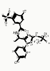 CC(NC(=O)c1cc(Cl)cc(S(C)(=O)=O)c1)c1nc(SC(F)(C(F)(F)F)C(F)(F)F)nn1-c1ccc(Cl)cn1